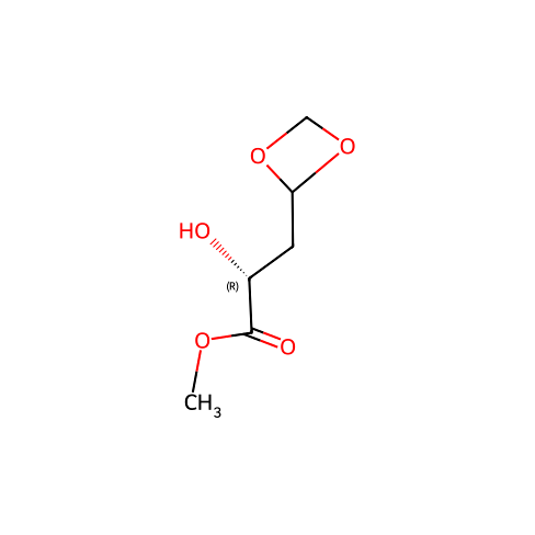 COC(=O)[C@H](O)CC1OCO1